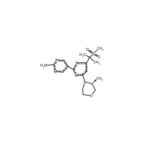 C[C@H]1COCCN1c1cc(C(C)(C)S(C)(=O)=O)nc(-c2cnc(N)nc2)n1